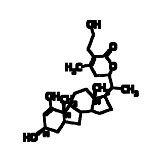 CC1=C(CCO)C(=O)OC(C(C)C2CCC3C4CC5C[C@@H](O)C=C(O)[C@]5(C)C4CC[C@]23C)C1